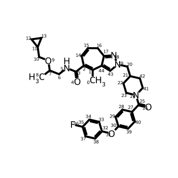 CC1=C(C(=O)NCC(C)OCC2CC2)C=CCc2nn(CC3CCN(C(=O)c4ccc(Oc5ccc(F)cc5)cc4)CC3)cc21